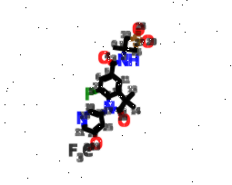 CC1(NC(=O)c2cc(F)c3c(c2)C(C)(C)C(=O)N3c2cncc(OC(F)(F)F)c2)CS(=O)(=O)C1